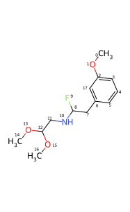 COc1cccc(CC(F)NCC(OC)OC)c1